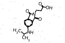 CC(C)Nc1ccc2c(c1)C(=O)N(CCC(=O)O)C2=O